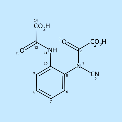 N#CN(C(=O)C(=O)O)c1ccccc1NC(=O)C(=O)O